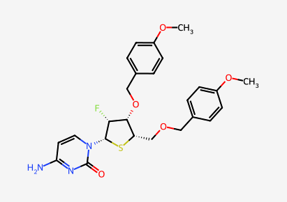 COc1ccc(COC[C@@H]2S[C@H](n3ccc(N)nc3=O)[C@H](F)[C@@H]2OCc2ccc(OC)cc2)cc1